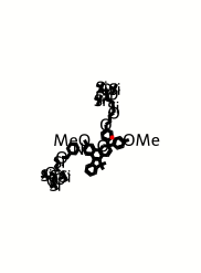 COc1ccc(C2(c3ccc(OCCO[Si](C)(C)CC[Si](O[Si](C)(C)C)(O[Si](C)(C)C)O[Si](C)(C)C)cc3)C=Cc3c4c(c5cc(N6CCCC(CO[Si](C)(C)CC[Si](O[Si](C)(C)C)(O[Si](C)(C)C)O[Si](C)(C)C)C6)c(OC)cc5c3O2)-c2ccccc2C4(C)C)cc1